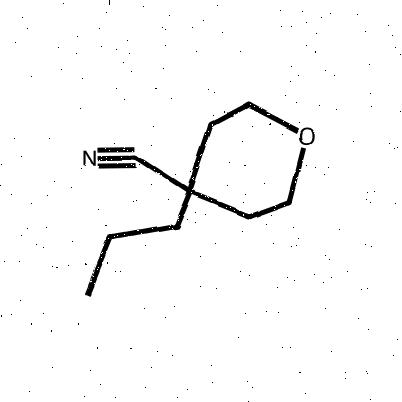 CCCC1(C#N)CCOCC1